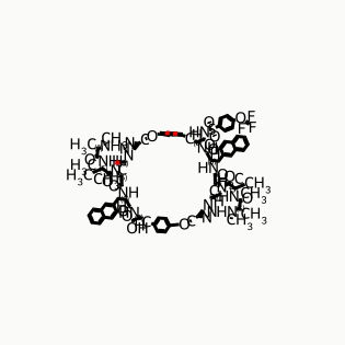 CN[C@@H](C)C(=O)N[C@H](C(=O)N1C[C@@H]2C[C@H]1C(=O)N[C@@H](Cc1ccc3ccccc3c1)C(=O)N[C@H](C(=O)O)Cc1ccc(cc1)OCc1cn(nn1)[C@H]1C[C@@H](C(=O)N[C@@H](Cc3ccc4ccccc4c3)C(=O)N[C@H](C(=O)NS(=O)(=O)c3ccc(OC(F)(F)F)cc3)Cc3ccc(cc3)OCc3cn2nn3)N(C(=O)[C@@H](NC(=O)[C@H](C)NC)C(C)(C)C)C1)C(C)(C)C